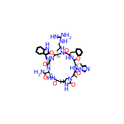 C[C@@H]1C(=O)N[C@@H](Cc2cnc[nH]2)C(=O)N[C@H](Cc2ccccc2)C(=O)N[C@@H](CCCNC(=N)N)C(=O)N[C@@H](Cc2c[nH]c3ccccc23)C(=O)NC(C(N)=O)CNC(=O)C[C@H]2CN1C(=O)N2